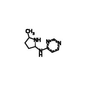 CC1CCC(Nc2ccncn2)N1